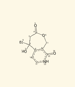 CCC1(O)CC(=O)OCc2c1cc[nH]c2=O